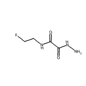 NNC(=O)C(=O)NCCF